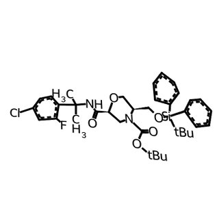 CC(C)(C)OC(=O)N1C[C@@H](C(=O)NC(C)(C)c2ccc(Cl)cc2F)OC[C@H]1CO[Si](c1ccccc1)(c1ccccc1)C(C)(C)C